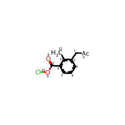 CC(=O)Cc1cccc(C(=O)OCl)c1C